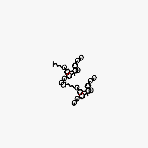 COCOc1ccc(C2(C)COc3cc(OCOC)ccc3C2c2cccc(OCCCCCl)c2)cc1.COCOc1ccc(C2(C)COc3cc(OCOC)ccc3C2c2cccc(OCCCCI)c2)cc1